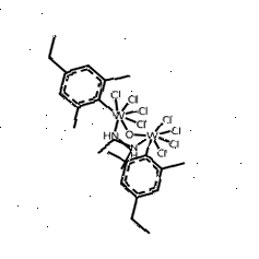 CC[NH][W]([Cl])([Cl])([Cl])([Cl])([O][W]([Cl])([Cl])([Cl])([Cl])([NH]CC)[c]1c(C)cc(CC)cc1C)[c]1c(C)cc(CC)cc1C